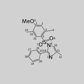 COc1cc(C)c(S(=O)(=O)n2cc(C)nc2-c2ccccc2)cc1C